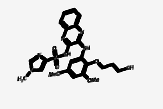 COc1cc(Nc2nc3ccccc3nc2NS(=O)(=O)c2cn(C)cn2)c(OCCCO)c(OC)c1